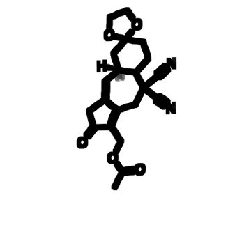 CC(=O)OCC1=C2CC(C#N)(C#N)C3CCC4(C[C@H]3C=C2CC1=O)OCCO4